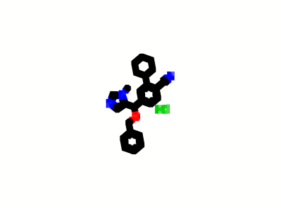 Cl.Cn1cncc1C(OCc1ccccc1)c1ccc(C#N)c(C2CCCCC2)c1